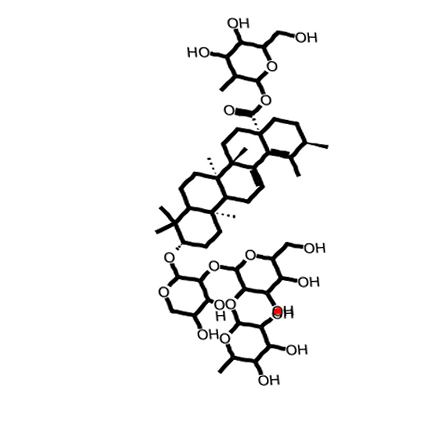 CC1=C2C3=CCC4[C@@]5(C)CC[C@H](OC6OCC(O)C(O)C6OC6OC(CO)C(O)C(O)C6OC6OC(C)C(O)C(O)C6O)C(C)(C)C5CC[C@@]4(C)[C@]3(C)CC[C@@]2(C(=O)OC2OC(CO)C(O)C(O)C2C)CC[C@H]1C